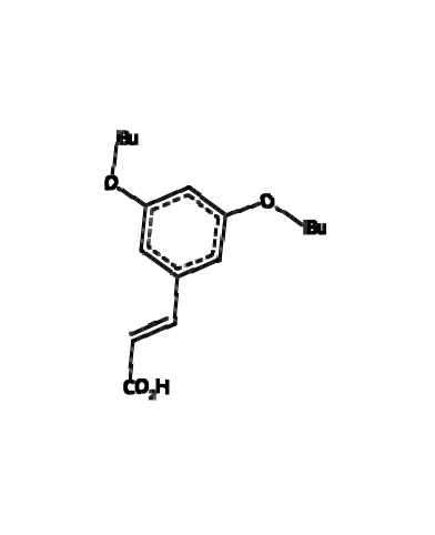 CCC(C)Oc1cc(C=CC(=O)O)cc(OC(C)CC)c1